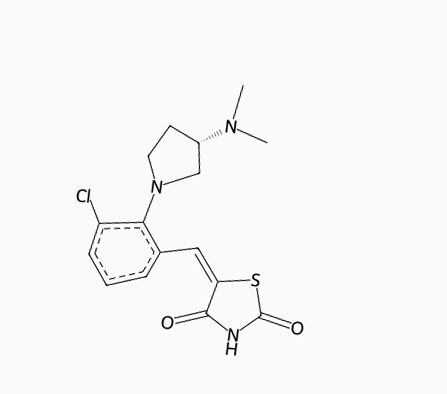 CN(C)[C@H]1CCN(c2c(Cl)cccc2C=C2SC(=O)NC2=O)C1